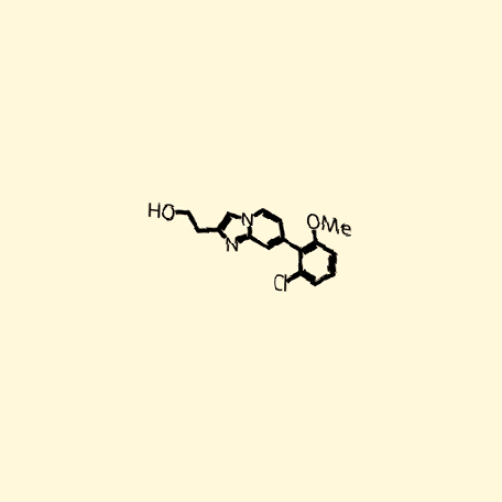 COc1cccc(Cl)c1-c1ccn2cc(CCO)nc2c1